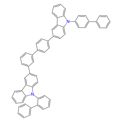 c1ccc(-c2ccc(-n3c4ccccc4c4cc(-c5ccc(-c6cccc(-c7ccc8c(c7)c7ccccc7n8-c7ccccc7-c7ccccc7)c6)cc5)ccc43)cc2)cc1